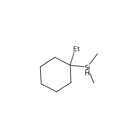 CCC1([SiH](C)C)CCCCC1